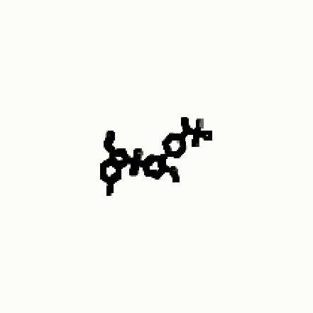 COc1ccc(S(=O)(=O)n2cc(C=O)c3ccc(F)cc32)cc1N1CCN(C(=O)C(Cl)(Cl)Cl)CC1